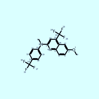 COc1ccc2nc(N(C)c3ccc(C(F)(F)F)cc3)cc(C(F)(F)F)c2c1